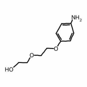 Nc1ccc(OCCOCCO)cc1